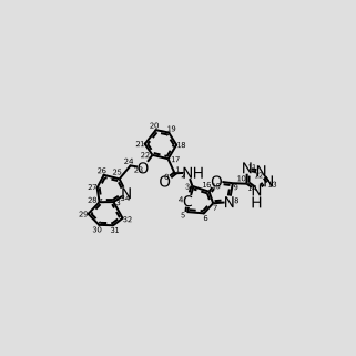 O=C(Nc1cccc2nc(-c3nnn[nH]3)oc12)c1ccccc1OCc1ccc2ccccc2n1